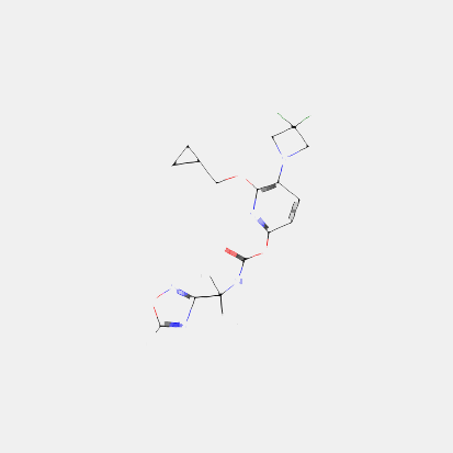 Cc1nc(C(C)(C)NC(=O)Oc2ccc(N3CC(F)(F)C3)c(OCC3CC3)n2)no1